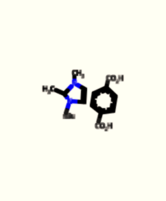 CCCCN1C=CN(C)C1C.O=C(O)c1ccc(C(=O)O)cc1